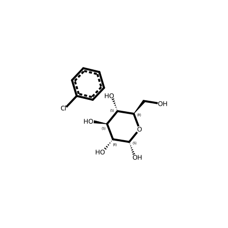 Clc1ccccc1.OC[C@H]1O[C@H](O)[C@H](O)[C@@H](O)[C@@H]1O